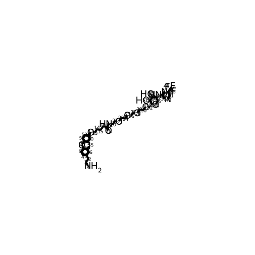 NCCc1ccc(Oc2ccc(OCCCCC(=O)NCCOCCOCCOCCOC[C@@H]3OC[C@@H](Nc4cncc(C(F)(F)F)n4)[C@H](O)[C@@H]3O)cc2)c(I)c1